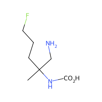 CC(CN)(CCCF)NC(=O)O